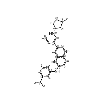 CC(C)c1cnnc(Nc2ccc3ncc(/C(C=N)=C/N[C@@H]4CCN(C)C4)cc3n2)c1